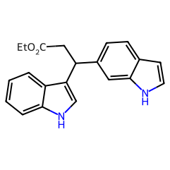 CCOC(=O)CC(c1ccc2cc[nH]c2c1)c1c[nH]c2ccccc12